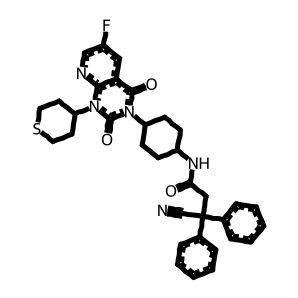 N#CC(CC(=O)NC1CCC(n2c(=O)c3cc(F)cnc3n(C3CCSCC3)c2=O)CC1)(c1ccccc1)c1ccccc1